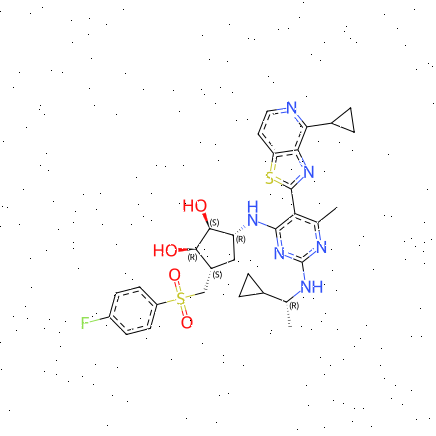 Cc1nc(N[C@H](C)C2CC2)nc(N[C@@H]2C[C@H](CS(=O)(=O)c3ccc(F)cc3)[C@@H](O)[C@H]2O)c1-c1nc2c(C3CC3)nccc2s1